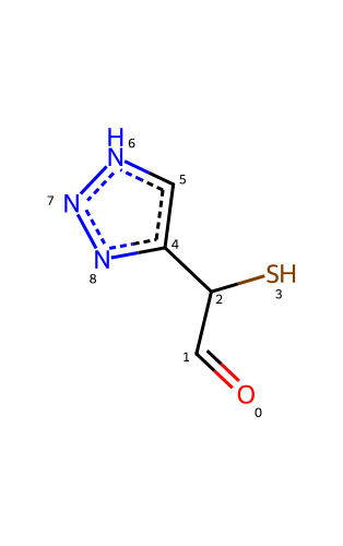 O=CC(S)c1c[nH]nn1